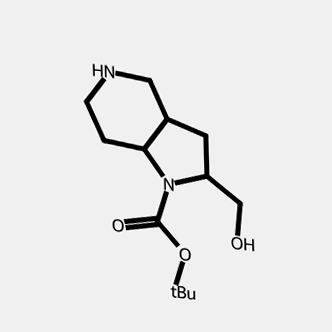 CC(C)(C)OC(=O)N1C(CO)CC2CNCCC21